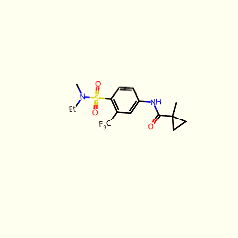 CCN(C)S(=O)(=O)c1ccc(NC(=O)C2(C)CC2)cc1C(F)(F)F